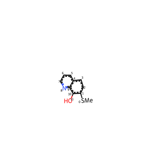 CSc1ccc2cccnc2c1O